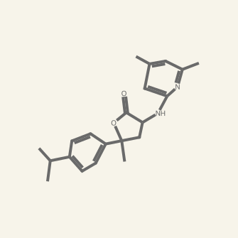 Cc1cc(C)nc(NC2CC(C)(c3ccc(C(C)C)cc3)OC2=O)c1